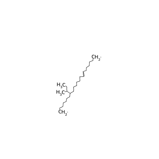 [CH2]CCCCCC=CCCCCCCC(CCCCCC[CH2])C(C)CC